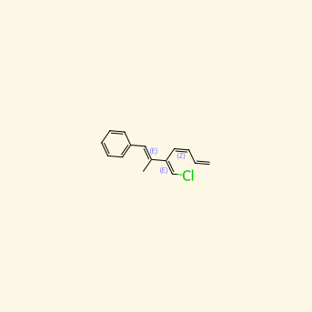 C=C\C=C/C(=C\Cl)C(/C)=C/c1ccccc1